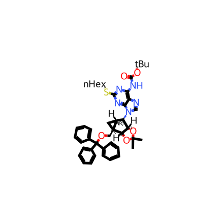 CCCCCCSc1nc(NC(=O)OC(C)(C)C)c2ncn([C@H]3[C@@H]4OC(C)(C)O[C@@H]4[C@]4(COC(c5ccccc5)(c5ccccc5)c5ccccc5)C[C@H]34)c2n1